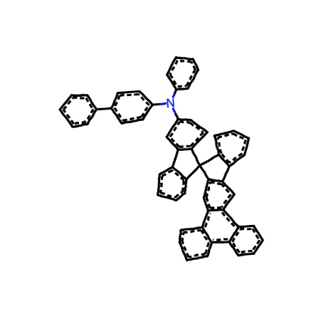 c1ccc(-c2ccc(N(c3ccccc3)c3ccc4c(c3)-c3ccccc3C43c4ccccc4-c4cc5c6ccccc6c6ccccc6c5cc43)cc2)cc1